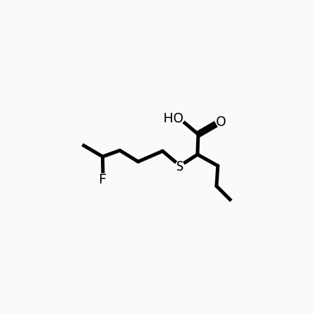 CCCC(SCCCC(C)F)C(=O)O